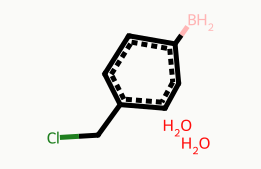 Bc1ccc(CCl)cc1.O.O